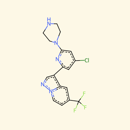 FC(F)(F)c1ccn2ncc(-c3cc(Cl)cc(N4CCNCC4)n3)c2c1